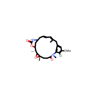 COc1cc2cc(c1Cl)N(C)C(=O)CC[C@]1(C)OC1[C@H](C)C1CC(C/C=C/C=C(\C)C2)NC(=O)O1